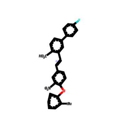 CC(C)(C)c1ccccc1Oc1ccc(/C=C/c2cc(-c3ccc(F)cc3)ccc2C(=O)O)cc1[N+](=O)[O-]